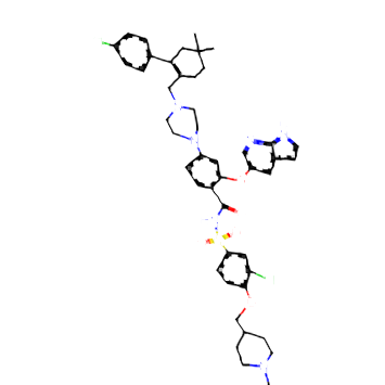 CC1(C)CCC(CN2CCN(c3ccc(C(=O)NS(=O)(=O)c4ccc(OCC5CCN(c6nccs6)CC5)c(Cl)c4)c(Oc4cnc5[nH]ccc5c4)c3)CC2)=C(c2ccc(Cl)cc2)C1